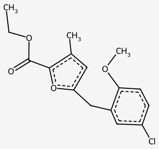 CCOC(=O)c1oc(Cc2cc(Cl)ccc2OC)cc1C